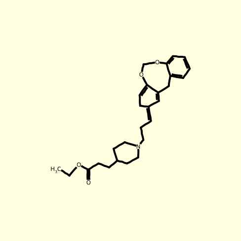 CCOC(=O)CCC1CCN(CCC=C2C=C3Cc4ccccc4OCOC3=CC2)CC1